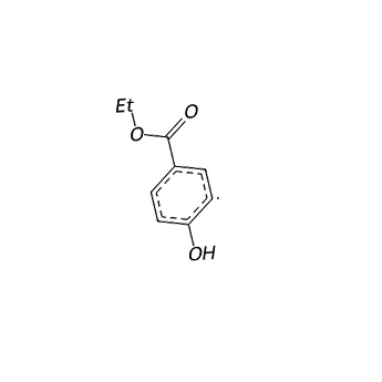 CCOC(=O)c1c[c]c(O)cc1